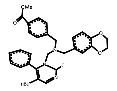 CCCCC1=C(c2ccccc2)N(CN(Cc2ccc(C(=O)OC)cc2)Cc2ccc3c(c2)OCCO3)C(Cl)N=C1